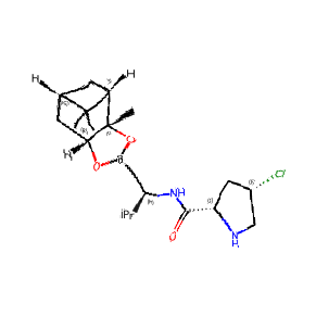 CC(C)[C@H](NC(=O)[C@@H]1C[C@H](Cl)CN1)B1O[C@@H]2C[C@@H]3C[C@@H](C3(C)C)[C@]2(C)O1